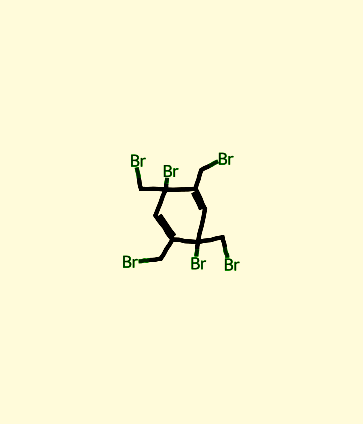 BrCC1=CC(Br)(CBr)C(CBr)=CC1(Br)CBr